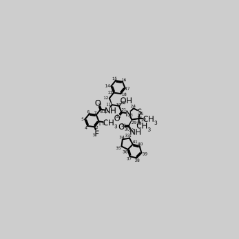 Cc1c(F)cccc1C(=O)N[C@@H](Cc1ccccc1)[C@H](O)C(=O)N1CSC(C)(C)[C@H]1C(=O)N[C@H]1CCc2ccccc21